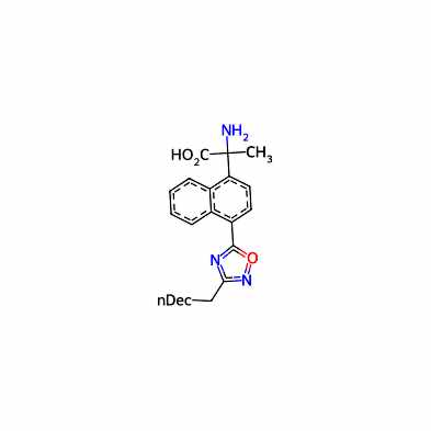 CCCCCCCCCCCc1noc(-c2ccc(C(C)(N)C(=O)O)c3ccccc23)n1